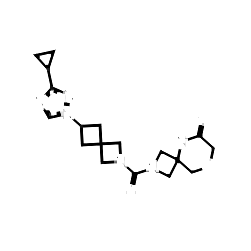 O=C1COCC2(CN(C(=O)N3CC4(CC(n5cnc(C6CC6)n5)C4)C3)C2)N1